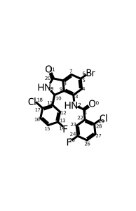 O=C(Nc1cc(Br)cc2c1C(c1cc(F)ccc1Cl)NC2=O)c1cc(F)ccc1Cl